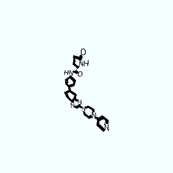 O=C1CC[C@@H](C(=O)Nc2ccc(-c3ccc4ncc(N5CCN(c6ccncc6)CC5)nc4c3)cc2)N1